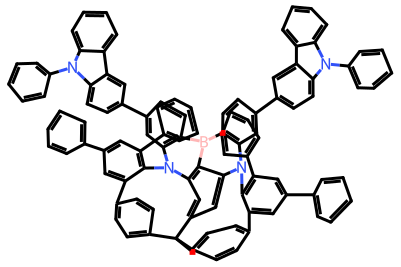 CC12c3ccc(cc3)-c3cc(-c4ccccc4)cc(-c4ccccc4)c3N3c4cc(-c5ccc6c(c5)c5ccccc5n6-c5ccccc5)ccc4B4c5ccc(-c6ccc7c(c6)c6ccccc6n7-c6ccccc6)cc5N(c5cc1cc3c54)c1c(-c3ccccc3)cc(-c3ccccc3)cc1-c1ccc2cc1